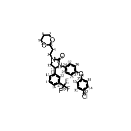 O=C1N(CCC2OCCCO2)CC(c2cccc(C(F)(F)F)c2)N1c1ccc(Oc2ccc(Cl)cc2)cc1